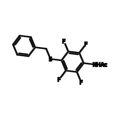 CC(=O)Nc1c(F)c(F)c(SCc2ccccc2)c(F)c1F